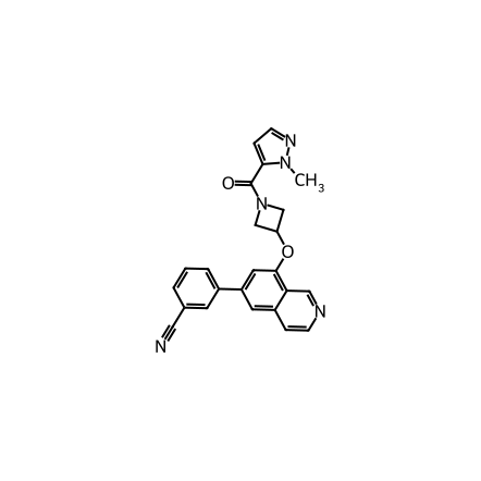 Cn1nccc1C(=O)N1CC(Oc2cc(-c3cccc(C#N)c3)cc3ccncc23)C1